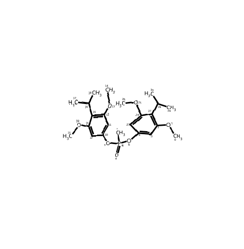 COc1cc(OP(C)(=O)Oc2cc(OC)c(C(C)C)c(OC)c2)cc(OC)c1C(C)C